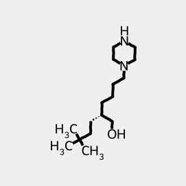 CC(C)(C)CC[C@@H](CO)CCCCN1CCNCC1